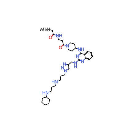 CNCC(=O)NCCC(=O)N1CCC(Nc2nc(NCc3cn(CCCNCCCNC4CCCCC4)nn3)nc3ccccc23)CC1